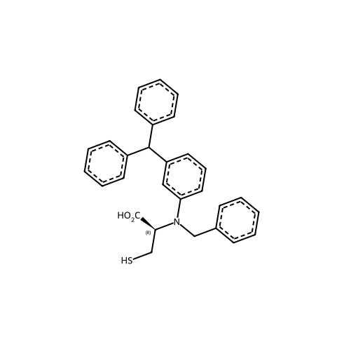 O=C(O)[C@H](CS)N(Cc1ccccc1)c1cccc(C(c2ccccc2)c2ccccc2)c1